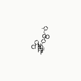 Cc1ccccc1CCOC(=O)c1ccc(-c2cc(C(F)(F)F)nn2-c2ccccc2Cl)cc1